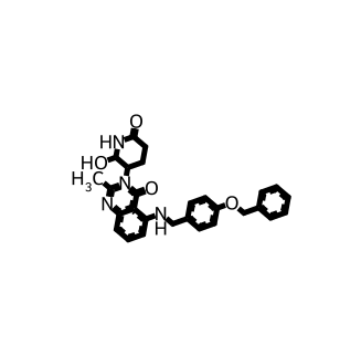 Cc1nc2cccc(NCc3ccc(OCc4ccccc4)cc3)c2c(=O)n1C1CCC(=O)NC1O